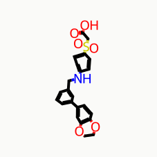 O=C(O)CS(=O)(=O)c1ccc(NCc2cccc(-c3ccc4c(c3)OCCO4)c2)cc1